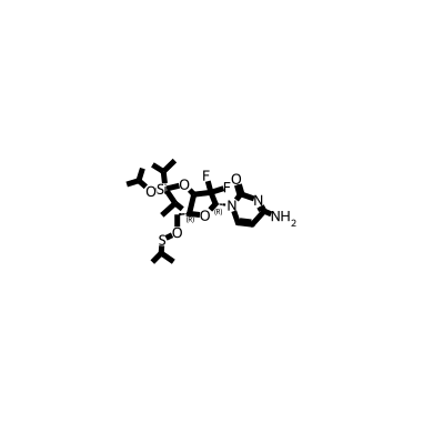 CC(C)O[Si](OC1[C@@H](COSC(C)C)O[C@@H](n2ccc(N)nc2=O)C1(F)F)(C(C)C)C(C)C